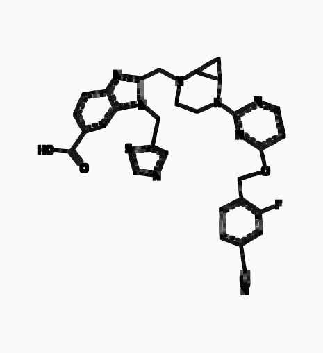 N#Cc1ccc(COc2ccnc(N3CCN(Cc4nc5ccc(C(=O)O)cc5n4Cc4cncs4)C4CC43)n2)c(F)c1